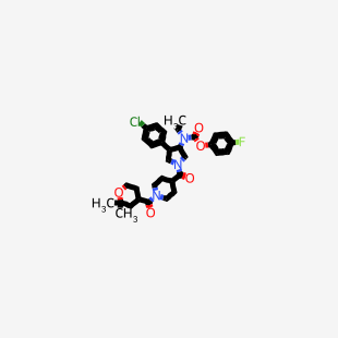 CCN(C(=O)Oc1ccc(F)cc1)C1CN(C(=O)C2CCN(C(=O)C3CCOC(C)(C)C3)CC2)CC1c1ccc(Cl)cc1